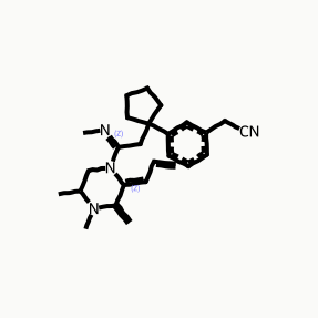 C=C/C=C1/C(=C)N(C)C(C)CN1/C(CC1(c2cccc(CC#N)c2)CCCC1)=N\C